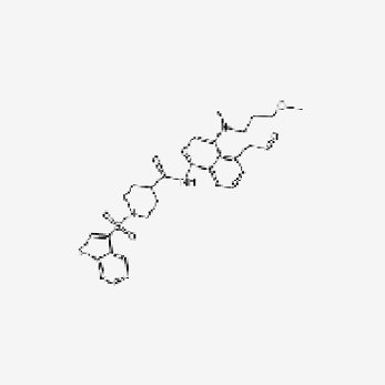 COCCCN(C)c1ccc(NC(=O)C2CCN(S(=O)(=O)c3csc4ccccc34)CC2)c2cccc(CC=O)c12